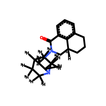 [2H]C1([2H])N2C([2H])([2H])C([2H])([2H])C([2H])(C1([2H])[2H])[C@]([2H])(N1C[C@H]3CCCc4cccc(c43)C1=O)C2([2H])[2H]